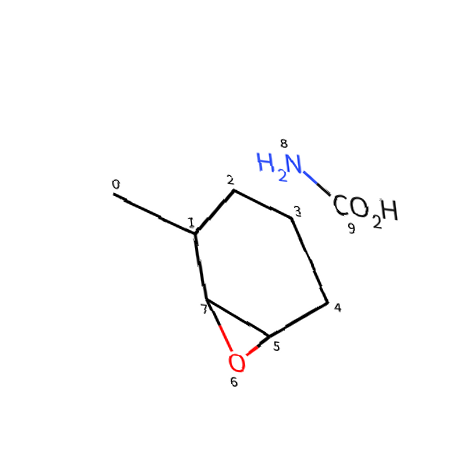 CC1CCCC2OC12.NC(=O)O